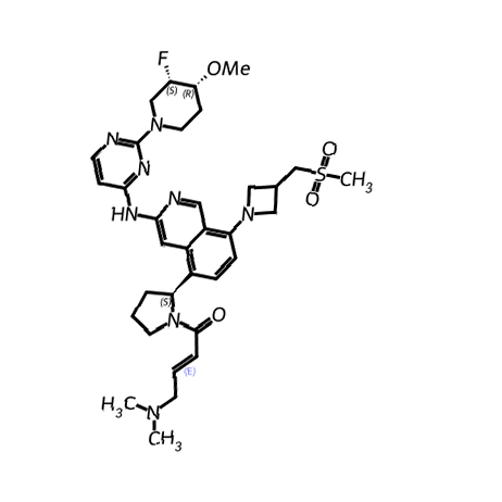 CO[C@@H]1CCN(c2nccc(Nc3cc4c([C@@H]5CCCN5C(=O)/C=C/CN(C)C)ccc(N5CC(CS(C)(=O)=O)C5)c4cn3)n2)C[C@@H]1F